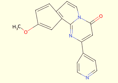 COc1ccc2ccn3c(=O)cc(-c4ccncc4)nc3c2c1